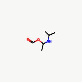 CC(C)NC(C)O[C]=O